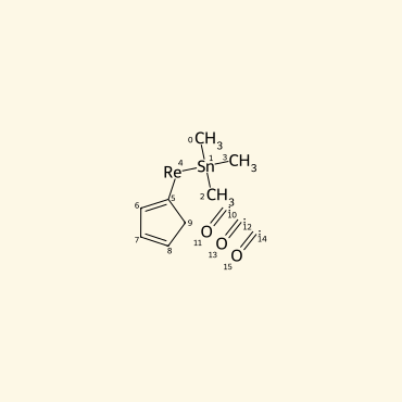 [CH3][Sn]([CH3])([CH3])[Re][C]1=CC=CC1.[C]=O.[C]=O.[C]=O